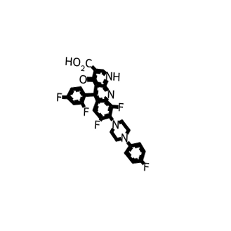 O=C(O)c1c[nH]c2nc3c(F)c(N4CCN(c5ccc(F)cc5)CC4)c(F)cc3c(-c3ccc(F)cc3F)c2c1=O